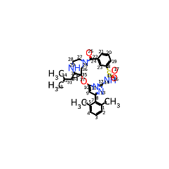 Cc1cccc(C)c1-c1cc2nc(n1)NS(=O)(=O)c1cccc(c1)C(=O)N1CCN[C@H](CC(C)C)[C@H](C1)O2